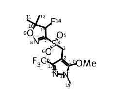 COc1c(CS(=O)(=O)C2=NOC(C)(C)C2F)c(C(F)(F)F)nn1C